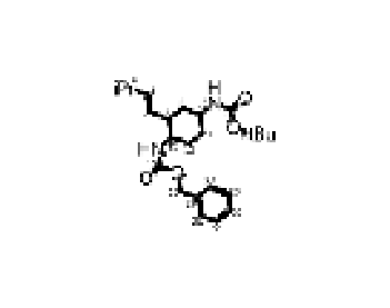 CC(C)C=CC1CC(NC(=O)OC(C)(C)C)CCC1NC(=O)OCc1ccccc1